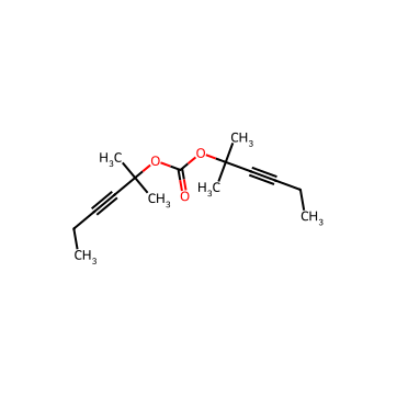 CCC#CC(C)(C)OC(=O)OC(C)(C)C#CCC